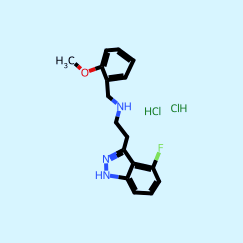 COc1ccccc1CNCCc1n[nH]c2cccc(F)c12.Cl.Cl